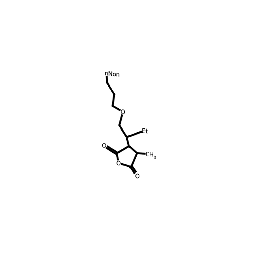 CCCCCCCCCCCCOCC(CC)C1C(=O)OC(=O)C1C